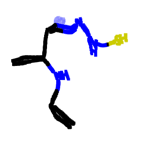 C=CNC(=C)/C=N\NS